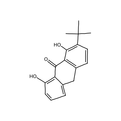 CC(C)(C)c1ccc2c(c1O)C(=O)c1c(O)cccc1C2